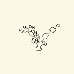 CC(C)(CC(C)(C)C(=O)O)OC1C(=O)c2ccccc2C(=O)[C@@H]1C1CCC(c2ccc(Cl)cc2)CC1